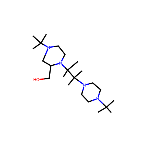 CC(C)(C)N1CCN(C(C)(C)C(C)(C)N2CCN(C(C)(C)C)CC2CO)CC1